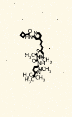 CN/C=C(/CCCc1ccnc(NC(=O)C2CCC2)c1)SC(C)NC(=O)NC1=CCC(C(C)(C)C)=NN1C